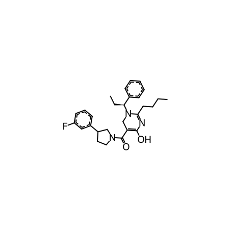 CCCCC1=NC(O)=C(C(=O)N2CCC(c3cccc(F)c3)C2)CN1[C@@H](CC)c1ccccc1